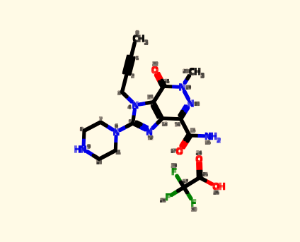 CC#CCn1c(N2CCNCC2)nc2c(C(N)=O)nn(C)c(=O)c21.O=C(O)C(F)(F)F